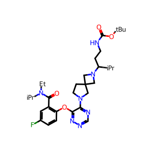 CCN(C(=O)c1cc(F)ccc1Oc1nncnc1N1CCC2(C1)CN(C(CCNC(=O)OC(C)(C)C)C(C)C)C2)C(C)C